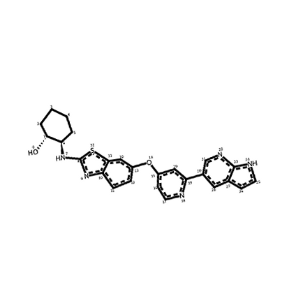 O[C@@H]1CCCC[C@H]1Nc1nc2ccc(Oc3ccnc(-c4cnc5[nH]ccc5c4)c3)cc2s1